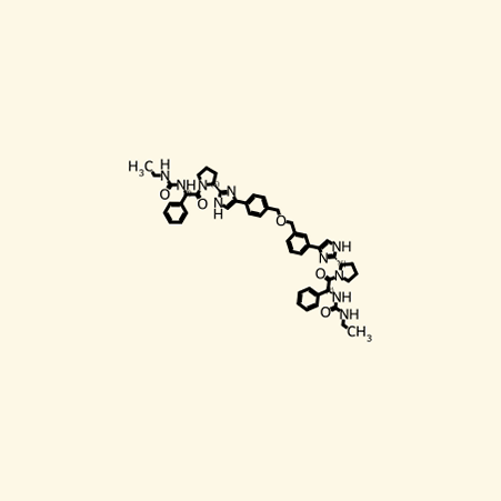 CCNC(=O)N[C@@H](C(=O)N1CCC[C@H]1c1nc(-c2ccc(COCc3cccc(-c4c[nH]c([C@@H]5CCCN5C(=O)[C@H](NC(=O)NCC)c5ccccc5)n4)c3)cc2)c[nH]1)c1ccccc1